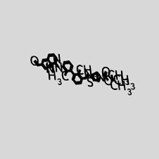 Cc1c(Nc2nccc3cc(C=O)cnc23)cccc1-c1cccc(-c2nc3c(s2)CN(C(=O)OC(C)(C)C)C3)c1C